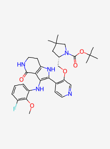 COc1c(F)cccc1Nc1c(-c2ccncc2OC[C@@H]2CC(C)(C)CN2C(=O)OC(C)(C)C)[nH]c2c1C(=O)NCC2